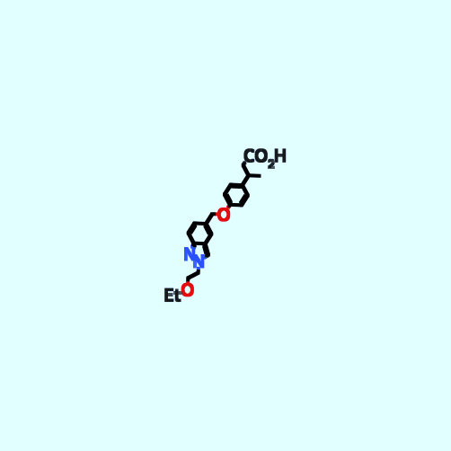 CCOCCn1cc2cc(COc3ccc(C(C)CC(=O)O)cc3)ccc2n1